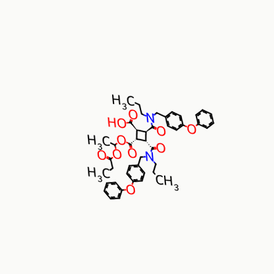 CCCN(Cc1ccc(Oc2ccccc2)cc1)C(=O)[C@@H]1[C@H](C(=O)O)[C@@H](C(=O)OC(C)OC(=O)CC)[C@H]1C(=O)N(CCC)Cc1ccc(Oc2ccccc2)cc1